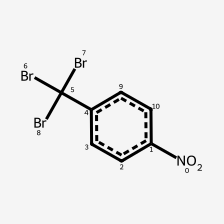 O=[N+]([O-])c1ccc(C(Br)(Br)Br)cc1